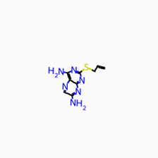 C=CCSc1nc(N)c2ncc(N)nc2n1